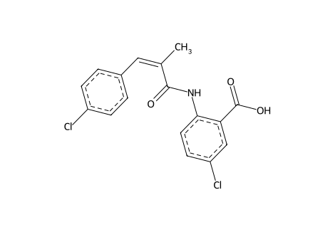 CC(=Cc1ccc(Cl)cc1)C(=O)Nc1ccc(Cl)cc1C(=O)O